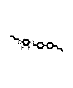 CCCCOc1ccc(OCC2CCC(C3CCC(CCCC)CC3)CC2)c(F)c1F